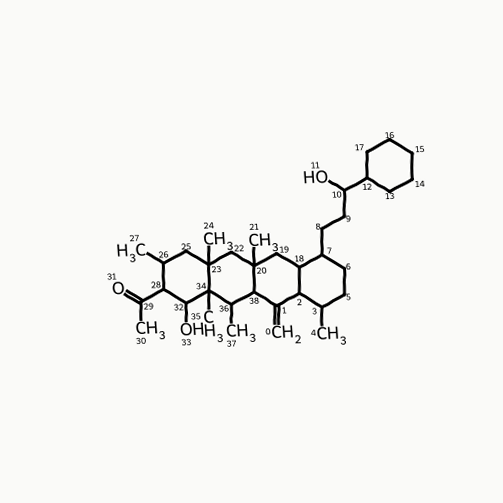 C=C1C2C(C)CCC(CCC(O)C3CCCCC3)C2CC2(C)CC3(C)CC(C)C(C(C)=O)C(O)C3(C)C(C)C12